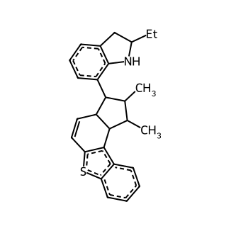 CCC1Cc2cccc(C3C(C)C(C)C4c5c(sc6ccccc56)C=CC34)c2N1